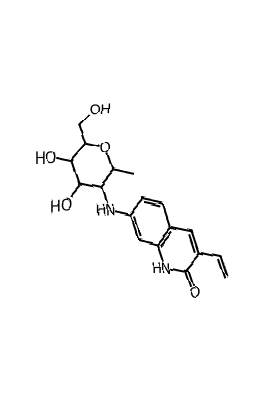 C=Cc1cc2ccc(NC3C(C)OC(CO)C(O)C3O)cc2[nH]c1=O